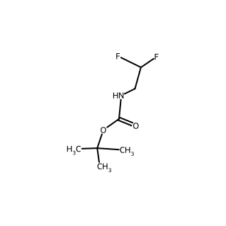 CC(C)(C)OC(=O)NCC(F)F